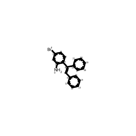 Nc1cc(Br)ccc1/C(=C/c1ccccc1)c1ccccc1